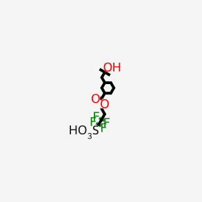 CC(C)(O)CC1CCCC(C(=O)OCCC(F)(F)C(F)(F)S(=O)(=O)O)C1